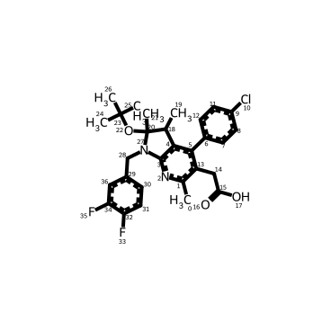 Cc1nc2c(c(-c3ccc(Cl)cc3)c1CC(=O)O)C(C)C(C)(OC(C)(C)C)N2Cc1ccc(F)c(F)c1